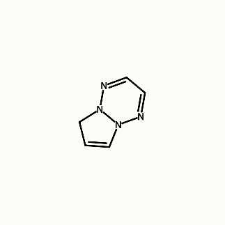 C1=CN2N=CC=NN2C1